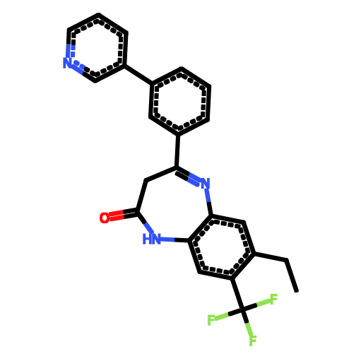 CCc1cc2c(cc1C(F)(F)F)NC(=O)CC(c1cccc(-c3cccnc3)c1)=N2